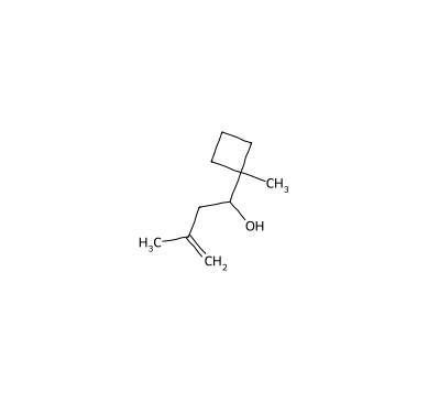 C=C(C)CC(O)C1(C)CCC1